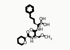 COC[C@@H](NC(=O)[C@H]1CCCCO1)C(=O)N[C@@H](CCCc1ccccc1)B(O)O